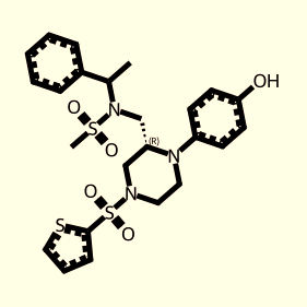 CC(c1ccccc1)N(C[C@H]1CN(S(=O)(=O)c2cccs2)CCN1c1ccc(O)cc1)S(C)(=O)=O